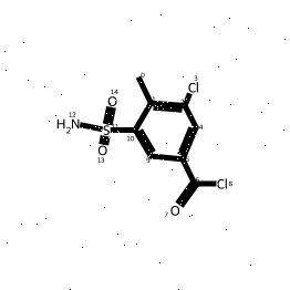 Cc1c(Cl)cc(C(=O)Cl)cc1S(N)(=O)=O